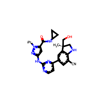 CC(C)n1nc(Nc2nccc(-c3cc(C#N)c4c(c3)[C@@](C)(CO)CN4)n2)cc1C(=O)NC1CC1